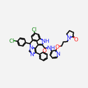 O=C(Nc1cccnc1OCCCN1CCCC1=O)c1[nH]c2cc(Cl)cc3c2c1-c1c(-c2ccccc2)ncn1C3c1ccc(Cl)cc1